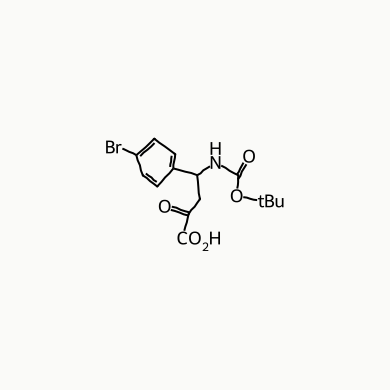 CC(C)(C)OC(=O)NC(CC(=O)C(=O)O)c1ccc(Br)cc1